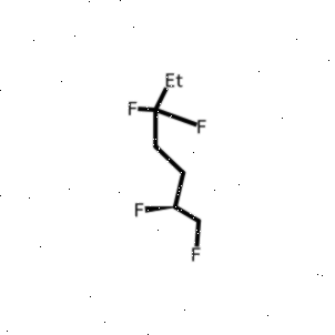 [CH2]CC(F)(F)CC[C@H](F)CF